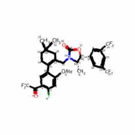 COc1cc(F)c(C(=O)C(F)(F)F)cc1C1=C(CN2C(=O)O[C@H](c3cc(C(F)(F)F)cc(C(F)(F)F)c3)[C@@H]2C)CC(C)(C)CC1